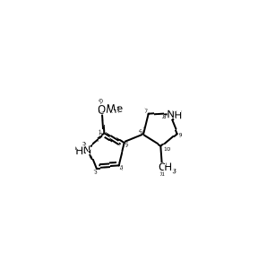 COc1[nH]ccc1C1CNCC1C